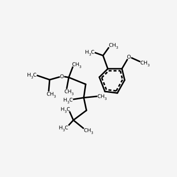 CC(C)OC(C)(C)CC(C)(C)CC(C)(C)C.COc1ccccc1C(C)C